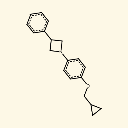 [c]1ccc(C2CN(c3ccc(OCC4CC4)cc3)C2)cc1